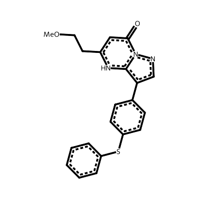 COCCc1cc(=O)n2ncc(-c3ccc(Sc4ccccc4)cc3)c2[nH]1